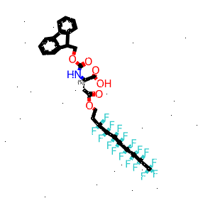 O=C(C[C@H](NC(=O)OCC1c2ccccc2-c2ccccc21)C(=O)O)OCCC(F)(F)C(F)(F)C(F)(F)C(F)(F)C(F)(F)C(F)(F)C(F)(F)C(F)(F)F